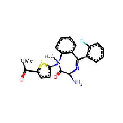 COC(=O)c1ccc([N+]2(C)C(=O)C(N)N=C(c3ccccc3F)c3ccccc32)s1